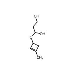 CC1=CC(OC(O)CCO)C1